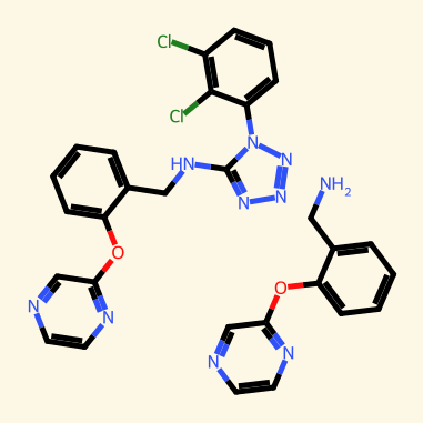 Clc1cccc(-n2nnnc2NCc2ccccc2Oc2cnccn2)c1Cl.NCc1ccccc1Oc1cnccn1